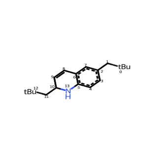 CC(C)(C)Cc1ccc2c(c1)C=CC(CC(C)(C)C)N2